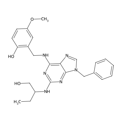 CCC(CO)Nc1nc(NCc2cc(OC)ccc2O)c2ncn(Cc3ccccc3)c2n1